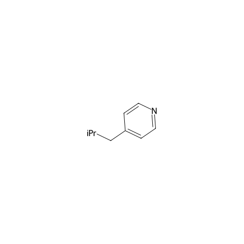 [CH2]C(C)Cc1ccncc1